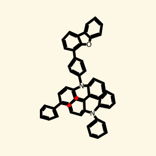 c1ccc(-c2ccc(N(c3ccc(-c4cccc5c4oc4ccccc45)cc3)c3ccccc3-c3ccccc3N(c3ccccc3)c3ccccc3)cc2)cc1